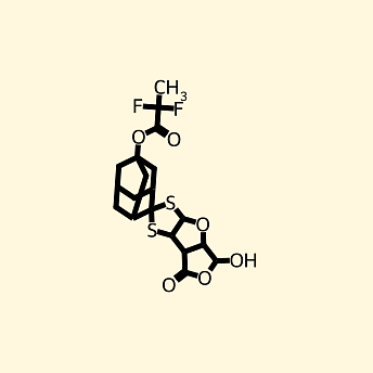 CC(F)(F)C(=O)OC12CC3CC(C1)C1(SC4OC5C(O)OC(=O)C5C4S1)C(C3)C2